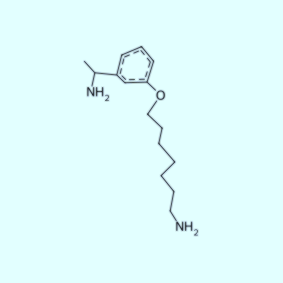 CC(N)c1cccc(OCCCCCCCN)c1